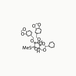 CS[C@@H]1O[C@@H]2COC(c3ccccc3)O[C@@H]2[C@H](OCc2ccc3c(c2)OCO3)[C@H]1OCc1ccc2c(c1)OCO2